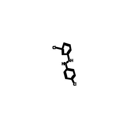 Clc1ccc(NNc2cccc(Cl)c2)cc1